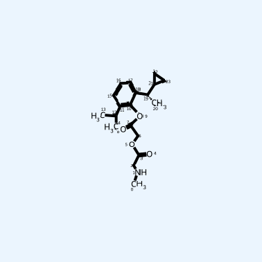 CNCC(=O)OCC(=O)Oc1c(C(C)C)cccc1[C@@H](C)C1CC1